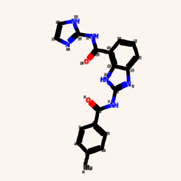 CC(C)(C)c1ccc(C(=O)Nc2nc3cccc(C(=O)Nc4ncc[nH]4)c3[nH]2)cc1